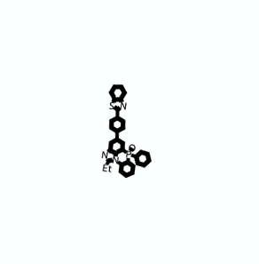 CCc1nc2cc(-c3ccc(-c4nc5ccccc5s4)cc3)cc3c2n1-c1ccccc1P3(=O)c1ccccc1